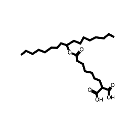 CCCCCCCCC(CCCCCCCC)OC(=O)CCCCCCC(C(=O)O)C(=O)O